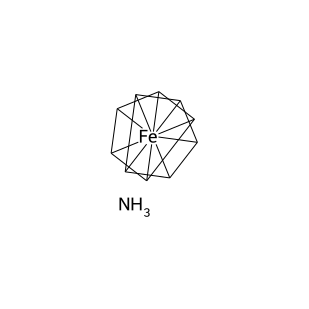 N.[CH]12[CH]3[CH]4[CH]5[CH]1[Fe]23451678[CH]2[CH]1[CH]6[CH]7[CH]28